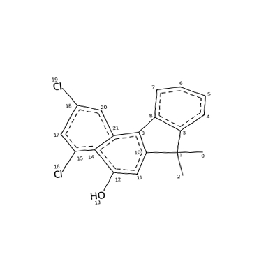 CC1(C)c2ccccc2-c2c1cc(O)c1c(Cl)cc(Cl)cc21